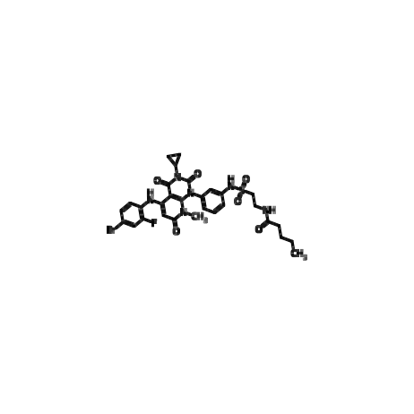 CCCCC(=O)NCCS(=O)(=O)Nc1cccc(-n2c(=O)n(C3CC3)c(=O)c3c(Nc4ccc(Br)cc4F)cc(=O)n(C)c32)c1